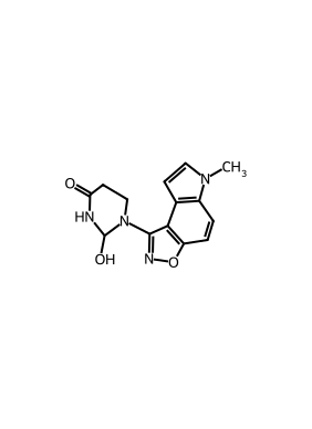 Cn1ccc2c3c(N4CCC(=O)NC4O)noc3ccc21